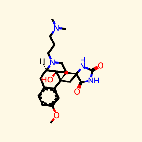 COc1ccc2c(c1)[C@]13CCN(CCCN(C)C)[C@H](C2)[C@]1(O)CC[C@@]1(C3)NC(=O)NC1=O